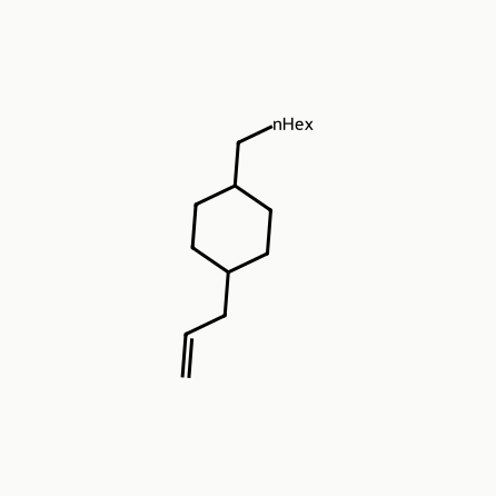 C=CCC1CCC(CCCCCCC)CC1